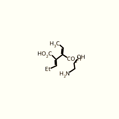 CC=C(C(=O)O)C(=CCC)C(=O)O.NCCO